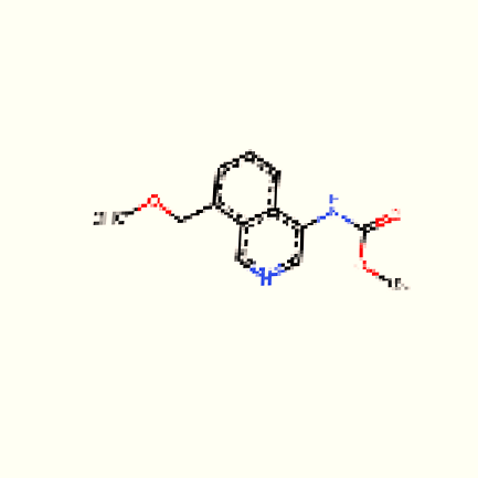 CC(C)(C)OC(=O)Nc1cncc2c(COC=O)cccc12